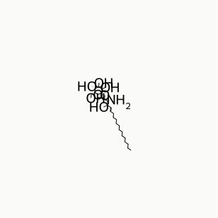 CCCCCCCCCCCCC/C=C/[C@@H](O)[C@@H](N)CO[C@@H]1O[C@H](CO)[C@H](O)C(O)C1O